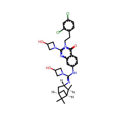 C[C@@H]1[C@@H](/N=C(/Nc2ccc3c(=O)n(CCc4ccc(Cl)cc4Cl)c(N4CC(O)C4)nc3c2)N2CC(O)C2)C[C@H]2C[C@@H]1C2(C)C